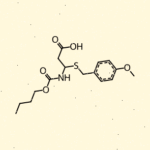 CCCCOC(=O)NC(CC(=O)O)SCc1ccc(OC)cc1